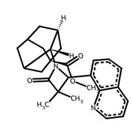 COC(=O)[C@]12CC3CC(C1)[C@@H](N1C(=O)C(C)(C)C1c1cccc4cccnc14)[C@@H](C3)C2